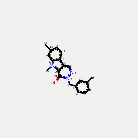 Cc1cccc(Cn2ncc3c4ccc(C)cc4n(C)c3c2=O)c1